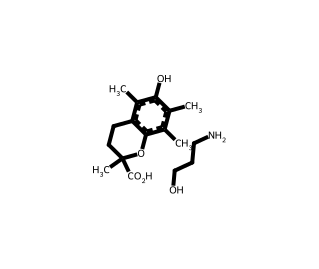 Cc1c(C)c2c(c(C)c1O)CCC(C)(C(=O)O)O2.NCCCO